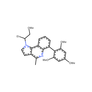 CCC(COC)n1ccc2c(C)nc3c(-c4c(OC)cc(OC)cc4OC)cccc3c21